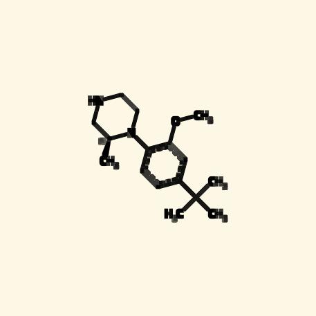 COc1cc(C(C)(C)C)ccc1N1CCNC[C@@H]1C